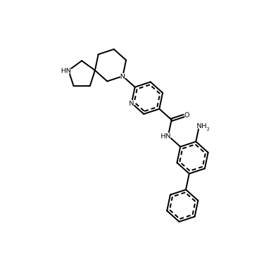 Nc1ccc(-c2ccccc2)cc1NC(=O)c1ccc(N2CCCC3(CCNC3)C2)nc1